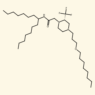 CCCCCCCCOCCCN1CCN(CC(=O)NC(CCCCCCC)CCCCCCC)[C@H](C(F)(F)F)C1